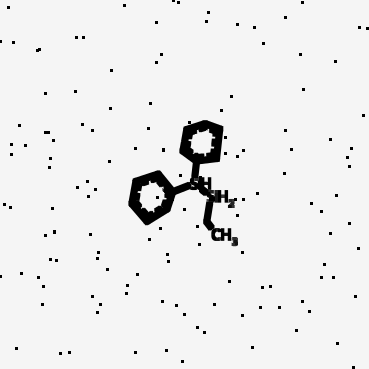 CC[SiH2][SiH](c1ccccc1)c1ccccc1